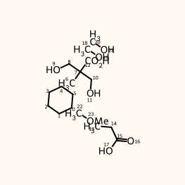 C1CCCCC1.CC(CO)(CO)C(=O)O.CCC(=O)O.CO.CO.COC